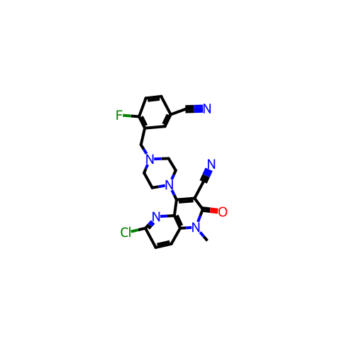 Cn1c(=O)c(C#N)c(N2CCN(Cc3cc(C#N)ccc3F)CC2)c2nc(Cl)ccc21